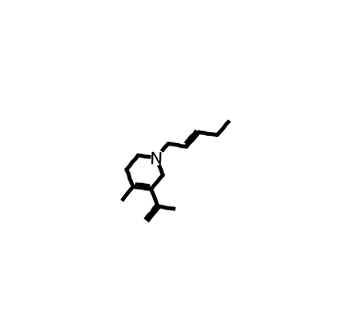 C=C(C)C1=C(C)CCN(C/C=C/CC)C1